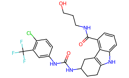 O=C(Nc1ccc(Cl)c(C(F)(F)F)c1)NC1CCc2[nH]c3cccc(C(=O)NCCCO)c3c2C1